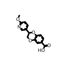 COc1ccc(C2COc3cc(C(=O)O)ccc3O2)cn1